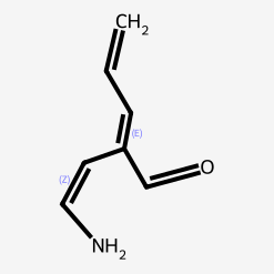 C=C/C=C(C=O)\C=C/N